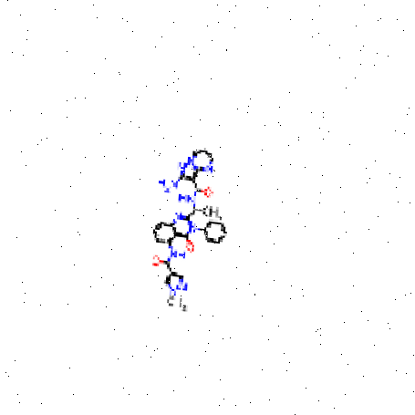 CC(NC(=O)c1c(N)nn2cccnc12)c1nc2cccc(NC(=O)c3cnn(C)c3)c2c(=O)n1-c1ccccc1